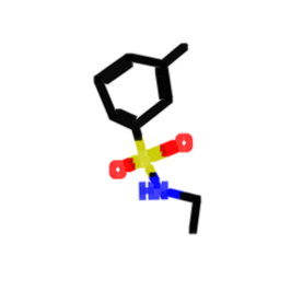 CCNS(=O)(=O)c1cccc(C)c1